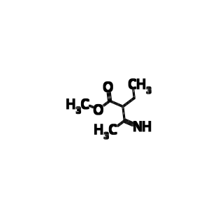 CCC(C(C)=N)C(=O)OC